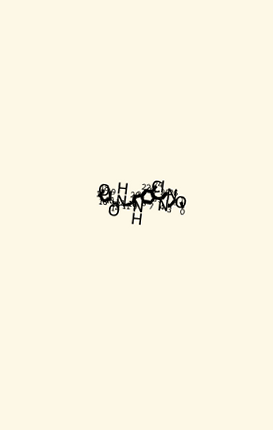 COc1cnc(-c2cc3[nH]c(CNC(=O)[C@@H]4CCOC4)cc3cc2Cl)cn1